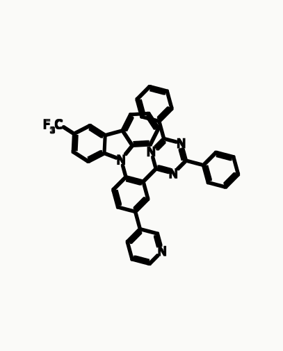 FC(F)(F)c1ccc2c(c1)c1ccccc1n2-c1ccc(-c2cccnc2)cc1-c1nc(-c2ccccc2)nc(-c2ccccc2)n1